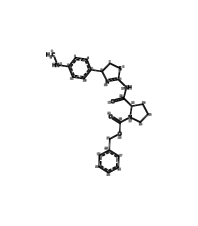 CNc1ccc(C2CSC(NC(=O)C3CCCN3C(=O)OCc3ccccc3)=N2)cc1